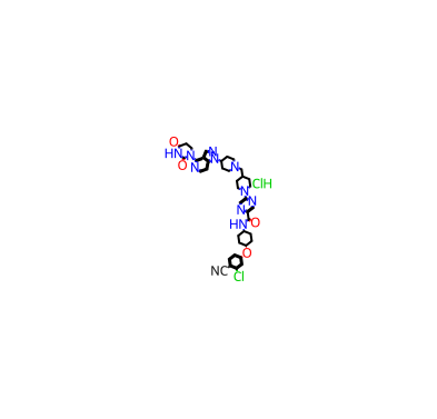 Cl.N#Cc1ccc(O[C@H]2CC[C@H](NC(=O)c3cnc(N4CCC(CN5CCC(n6ncc7c(N8CCC(=O)NC8=O)nccc76)CC5)CC4)cn3)CC2)cc1Cl